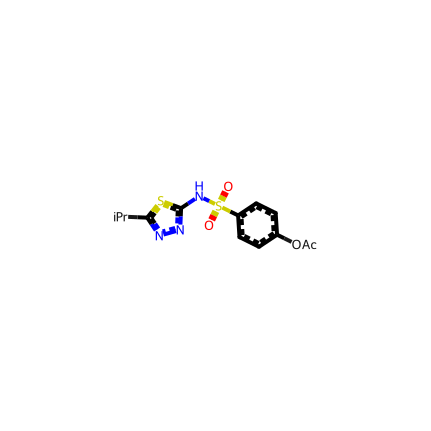 CC(=O)Oc1ccc(S(=O)(=O)Nc2nnc(C(C)C)s2)cc1